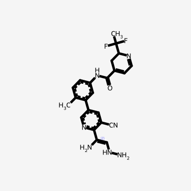 Cc1ccc(NC(=O)C2=CC=NC(C(C)(F)F)C2)cc1-c1cnc(/C(N)=C/NN)c(C#N)c1